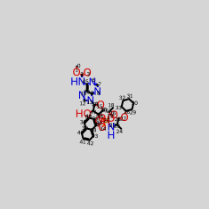 COC(=O)Nc1ncnc2c1ncn2[C@@H]1O[C@H](C(C)OP(=O)(NC(C)C(=O)OC2CCCCC2)Oc2cccc3ccccc23)C(O)C1O